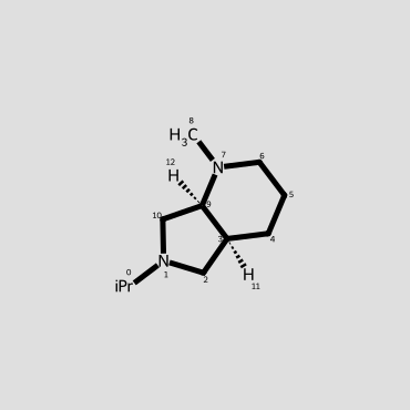 CC(C)N1C[C@@H]2CCCN(C)[C@@H]2C1